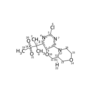 CC(C)(c1nc(Cl)nc2c1OC[C@@H]1COCCN21)S(C)(=O)=O